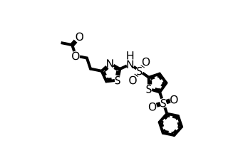 CC(=O)OCCc1csc(NS(=O)(=O)c2ccc(S(=O)(=O)c3ccccc3)s2)n1